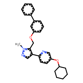 Cn1ncc(-c2ccc(OC3CCCCC3)cn2)c1COc1cccc(-c2ccccc2)c1